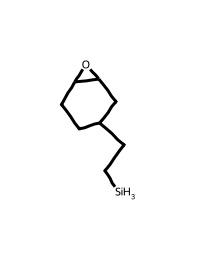 [SiH3]CCC1CCC2OC2C1